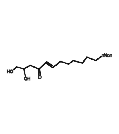 CCCCCCCCCCCCCCC/C=C/C(=O)CC(O)CO